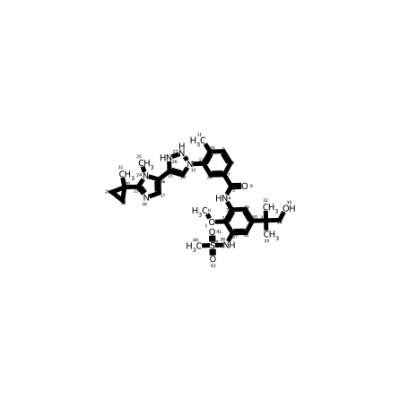 COc1c(NC(=O)c2ccc(C)c(N3C=C(c4cnc(C5(C)CC5)n4C)NN3)c2)cc(C(C)(C)CO)cc1NS(C)(=O)=O